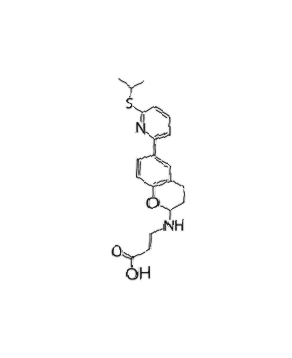 CC(C)Sc1cccc(-c2ccc3c(c2)CCC(NCCC(=O)O)O3)n1